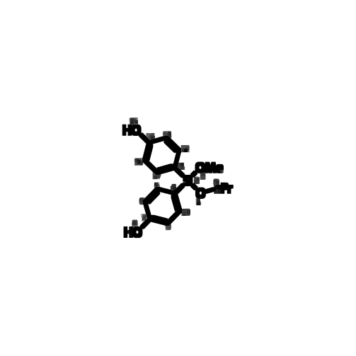 CCCO[Si](OC)(c1ccc(O)cc1)c1ccc(O)cc1